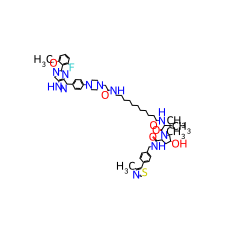 COc1cccc(F)c1-c1ncc2[nH]nc(-c3ccc(N4CCN(CC(=O)NCCCCCCCCCCC(=O)N[C@H](C(=O)N5C[C@H](O)CC5C(=O)NCc5ccc(-c6scnc6C)cc5)C(C)(C)C)CC4)cc3)c2n1